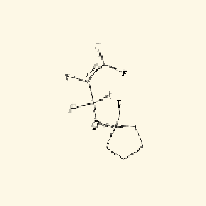 FC(F)=C(F)C(F)(F)OC1(F)CCCC1